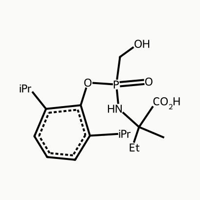 CCC(C)(NP(=O)(CO)Oc1c(C(C)C)cccc1C(C)C)C(=O)O